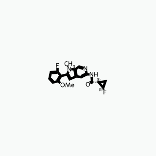 COc1cccc(F)c1-c1cc2cc(NC(=O)[C@@H]3C[C@@H]3F)ncc2n1C